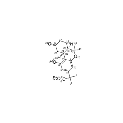 CCOC(=O)C(C)(C)c1cc(O)c2c(c1)OC(C)(C)[C@@H]1CCC(=O)C[C@@H]21